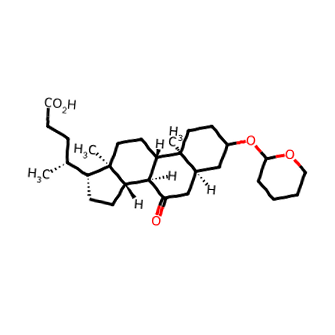 C[C@H](CCC(=O)O)[C@H]1CC[C@H]2[C@@H]3C(=O)C[C@@H]4CC(OC5CCCCO5)CC[C@]4(C)[C@H]3CC[C@]12C